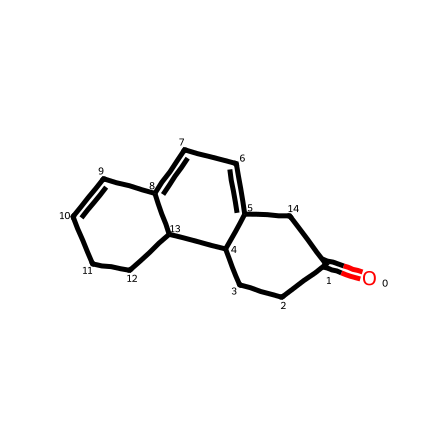 O=C1CCC2C(=CC=C3C=CCCC32)C1